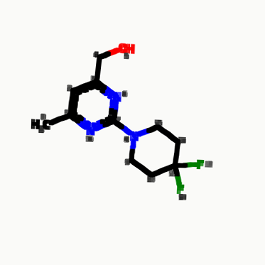 Cc1cc(CO)nc(N2CCC(F)(F)CC2)n1